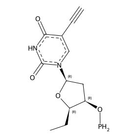 C#Cc1cn([C@H]2C[C@@H](OP)[C@@H](CC)O2)c(=O)[nH]c1=O